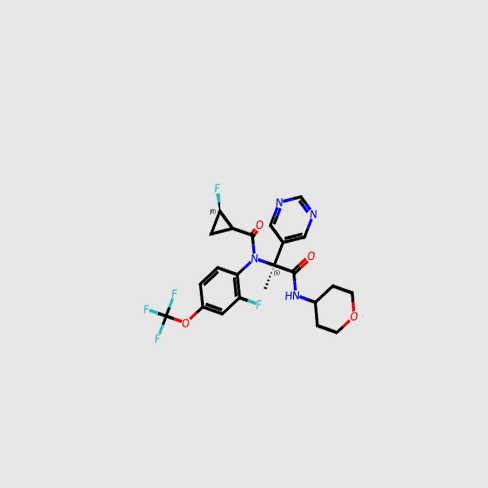 C[C@@](C(=O)NC1CCOCC1)(c1cncnc1)N(C(=O)C1C[C@H]1F)c1ccc(OC(F)(F)F)cc1F